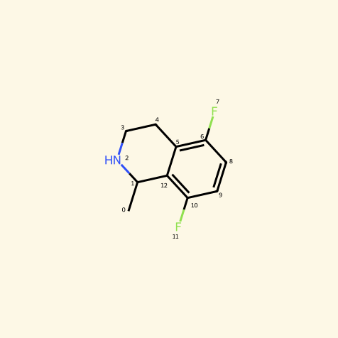 CC1NCCc2c(F)ccc(F)c21